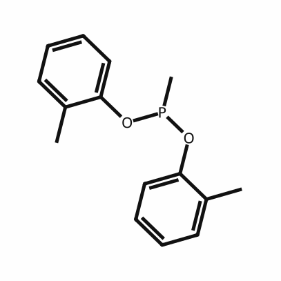 Cc1ccccc1OP(C)Oc1ccccc1C